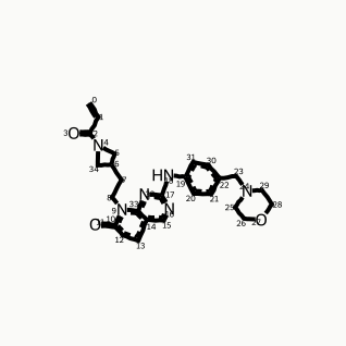 C=CC(=O)N1CC(CCn2c(=O)ccc3cnc(Nc4ccc(CN5CCOCC5)cc4)nc32)C1